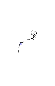 CC(CCCCCC/C=C\CCCCI)OC1CCCCO1